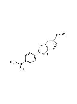 CN(C)c1ccc(C2Nc3ccc(ON)cc3S2)cc1